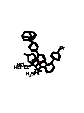 CCC1=Cc2c(-c3ccc(C45CC6CC(CC(C6)C4)C5)cc3)cccc2[CH]1[Zr]([CH3])([CH3])(=[SiH2])[CH]1C(C2CCC(C)CC2)=Cc2c(-c3ccc(C(C)C)cc3)cccc21.Cl.Cl